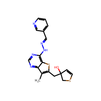 Cc1c(CC2(O)C=CSC2)sc2c(NN=Cc3cccnc3)ncnc12